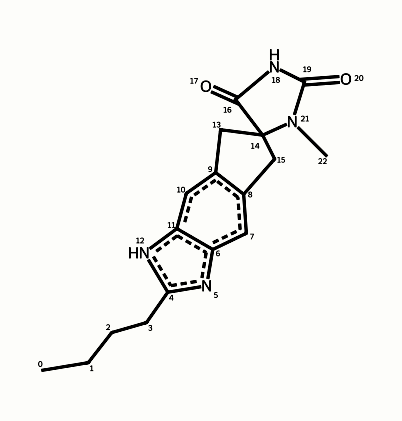 CCCCc1nc2cc3c(cc2[nH]1)CC1(C3)C(=O)NC(=O)N1C